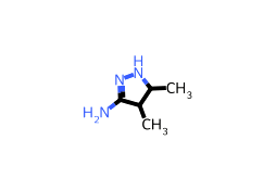 CC1NN=C(N)C1C